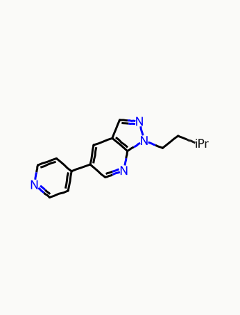 CC(C)CCn1ncc2cc(-c3ccncc3)cnc21